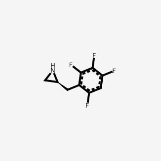 Fc1cc(F)c(C[C@H]2CN2)c(F)c1F